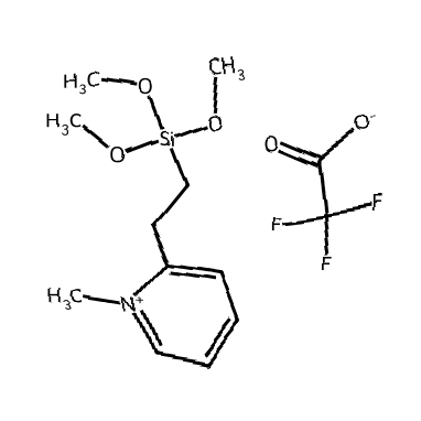 CO[Si](CCc1cccc[n+]1C)(OC)OC.O=C([O-])C(F)(F)F